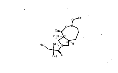 CCOB1CCC[C@H]2CN(C(=O)C(N)(O)CO)C[C@@]2(N)C(=O)O1